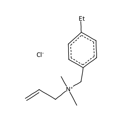 C=CC[N+](C)(C)Cc1ccc(CC)cc1.[Cl-]